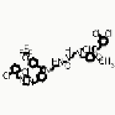 CCN(CCNC(=O)NCCCn1cc(-c2ccc(OC(F)(F)F)cc2)c2cc(CN3CCN(Cc4c(Cl)cccc4Cl)CC3)ccc21)Cc1ccc(OC)c(OCc2ccc(Cl)c(Cl)c2)c1